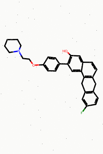 Oc1cc2ccc3c(c2cc1-c1ccc(OCCN2CCCCC2)cc1)Cc1cc(F)ccc1C3